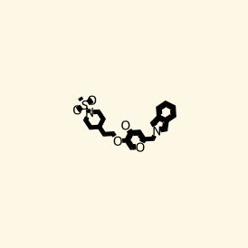 CS(=O)(=O)N1CCC(CCOc2coc(Cn3cc4ccccc4c3)cc2=O)CC1